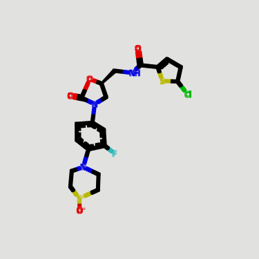 O=C(NC[C@H]1CN(c2ccc(N3CC[S+]([O-])CC3)c(F)c2)C(=O)O1)C1=CCC(Cl)S1